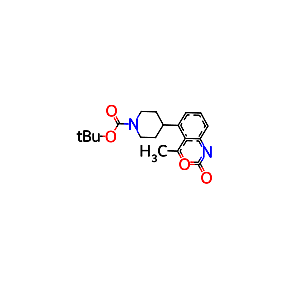 Cc1oc(=O)nc2cccc(C3CCN(C(=O)OC(C)(C)C)CC3)c12